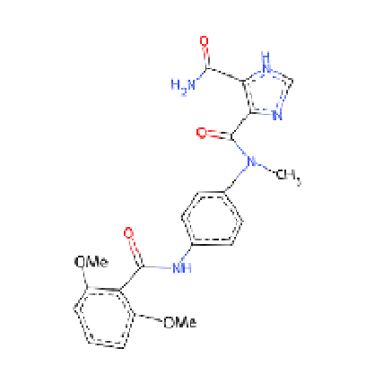 COc1cccc(OC)c1C(=O)Nc1ccc(N(C)C(=O)c2nc[nH]c2C(N)=O)cc1